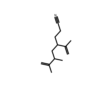 C=C(C)C(C)CC(CCC#N)C(=C)C